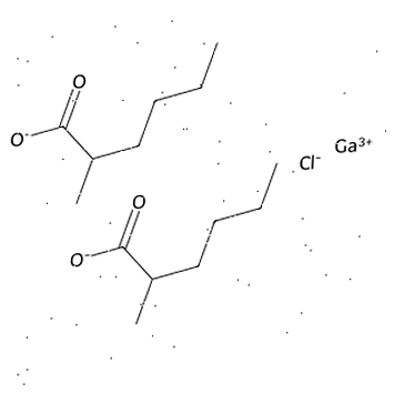 CCCCC(C)C(=O)[O-].CCCCC(C)C(=O)[O-].[Cl-].[Ga+3]